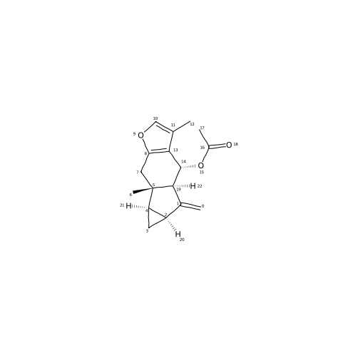 C=C1[C@H]2C[C@H]2[C@]2(C)Cc3occ(C)c3[C@H](OC(C)=O)[C@@H]12